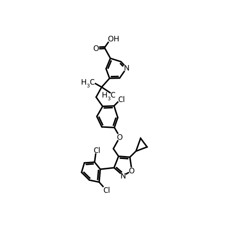 CC(C)(Cc1ccc(OCc2c(-c3c(Cl)cccc3Cl)noc2C2CC2)cc1Cl)c1cncc(C(=O)O)c1